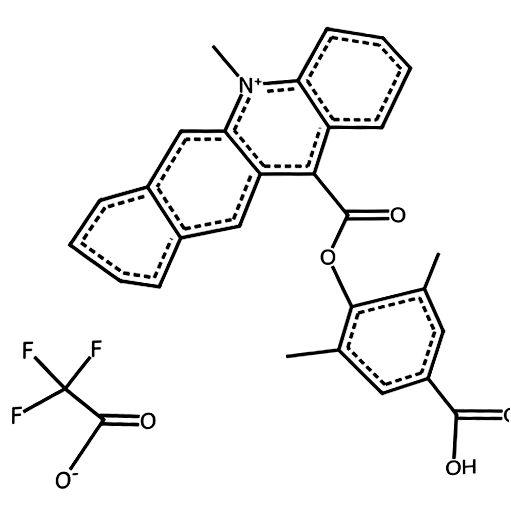 Cc1cc(C(=O)O)cc(C)c1OC(=O)c1c2ccccc2[n+](C)c2cc3ccccc3cc12.O=C([O-])C(F)(F)F